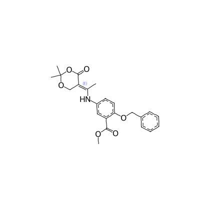 COC(=O)c1cc(N/C(C)=C2\COC(C)(C)OC2=O)ccc1OCc1ccccc1